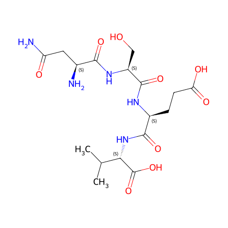 CC(C)[C@H](NC(=O)[C@H](CCC(=O)O)NC(=O)[C@H](CO)NC(=O)[C@@H](N)CC(N)=O)C(=O)O